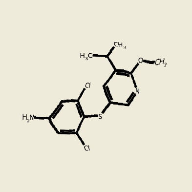 COc1ncc(Sc2c(Cl)cc(N)cc2Cl)cc1C(C)C